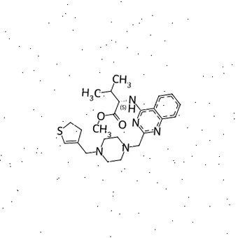 COC(=O)[C@@H](Nc1nc(CN2CCN(CC3=CSCC3)CC2)nc2ccccc12)C(C)C